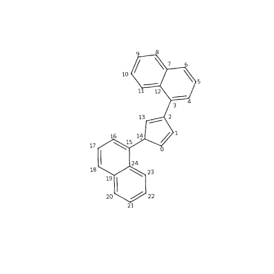 C1=CC(c2cccc3ccccc23)=C[C]1c1cccc2ccccc12